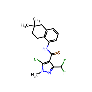 Cn1nc(C(F)F)c(C(=S)Nc2cccc3c2CCC(C)(C)C3)c1Cl